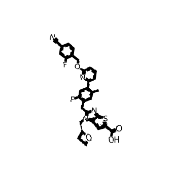 Cc1cc(Cc2nc3sc(C(=O)O)cc3n2C[C@@H]2CCO2)c(F)cc1-c1cccc(OCc2ccc(C#N)cc2F)n1